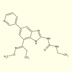 CCNC(=O)Nc1nc2cc(-c3cccnc3)cc(/C(CC)=N/OC)c2[nH]1